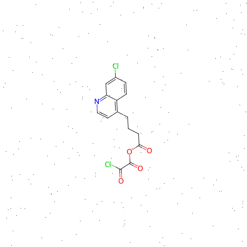 O=C(CCCc1ccnc2cc(Cl)ccc12)OC(=O)C(=O)Cl